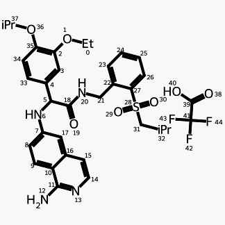 CCOc1cc(C(Nc2ccc3c(N)nccc3c2)C(=O)NCc2ccccc2S(=O)(=O)CC(C)C)ccc1OC(C)C.O=C(O)C(F)(F)F